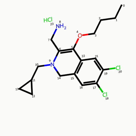 CCCCOC1=C(CN)N(CC2CC2)Cc2cc(Cl)c(Cl)cc21.Cl